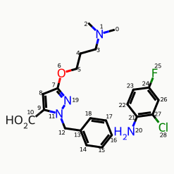 CN(C)CCCOc1cc(C(=O)O)n(Cc2ccccc2)n1.Nc1ccc(F)cc1Cl